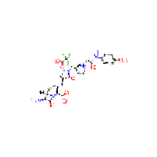 N[C@@H]1C(=O)N2C(C(=O)[O-])=C(/C=C3\CCN(Cc4ccc[n+](CC(=O)Nc5ccc(O)cc5)c4)C3=O)CS[C@H]12.O=C(O)C(F)(F)F